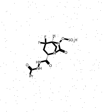 CC(C)C(=O)NNC(=O)[C@@H]1CC(F)(F)[C@@H]2CN1C(=O)N2OS(=O)(=O)O